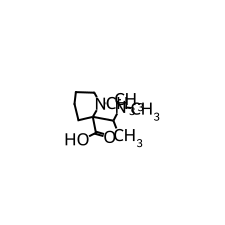 CC(N(C)C)C1(C(=O)O)CCCCN1C